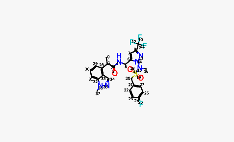 CC(C(=O)NCc1cc(C(F)(F)F)nn1N(C)S(=O)(=O)Cc1ccc(F)cc1)c1cccc2c1cnn2C